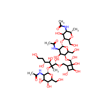 CC(=O)NC1C(O)[C@H](O)C(CO)O[C@H]1OC(C)(C(O)[C@H](O)CCO)[C@H](O)OCC1[C@@H](O)C(O)C1(O)[C@@H](O)O[C@@H]1C(CO)O[C@@H](O[C@@H]2C(CO)O[C@@H](C)C(NC(C)=O)C2O)C(NC(C)=O)C1O